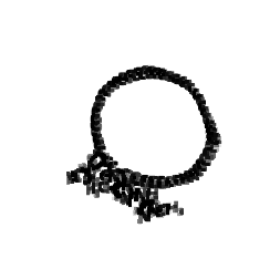 Cc1cnc(Nc2cnn(C)c2)nc1N(C)C1CCCCCCCCCCCCCCCCCCCCCCCCCCCCCCCCCCCCCCCCCCCCCCCCC2(CC1)CCN(C(=O)CC#N)CC2